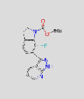 CC(C)(C)OC(=O)N1CCc2ccc(-c3n[nH]c4ncccc34)c(F)c21